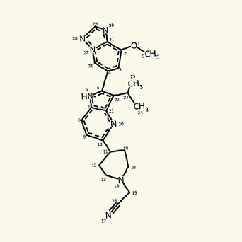 COc1cc(-c2[nH]c3ccc(C4CCN(CC#N)CC4)nc3c2C(C)C)cn2ncnc12